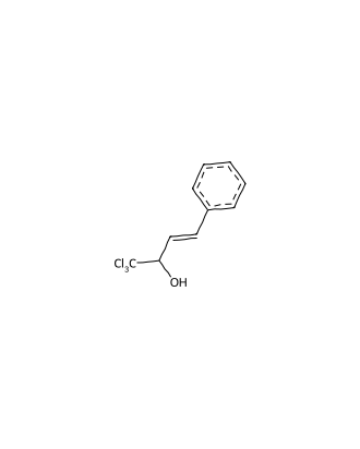 OC(C=Cc1ccccc1)C(Cl)(Cl)Cl